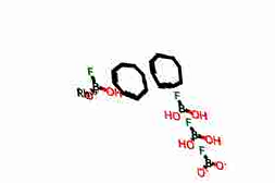 C1=CCCCCC=C1.C1=CCCCCC=C1.OB(O)F.OB(O)F.[O-]B(O)F.[O-]B([O-])F.[Rh+3]